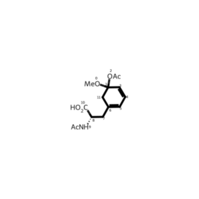 COC1(OC(C)=O)C=CC=C(C[C@H](NC(C)=O)C(=O)O)C1